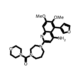 COc1cc2nc(N3CCCN(C(=O)N4CCOCC4)CC3)cc(N)c2c(-c2ccoc2)c1OC